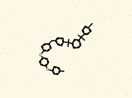 Cc1ccc(Oc2ccc(Oc3ccc(Cc4ccc(C(C)(C)c5cccc(C(C)(C)c6ccc(C)cc6)c5)cc4)cc3)cc2)cc1